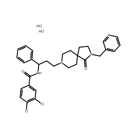 Cl.Cl.O=C(NC(CCN1CCC2(CC1)CCN(Cc1cccnc1)C2=O)c1ccccc1)c1ccc(Cl)c(Cl)c1